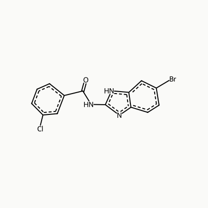 O=C(Nc1nc2ccc(Br)cc2[nH]1)c1cccc(Cl)c1